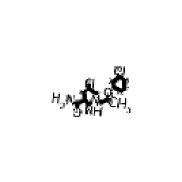 CC(Cn1cc(Cl)cc(C(N)=O)c1=N)Oc1cccc(Cl)c1